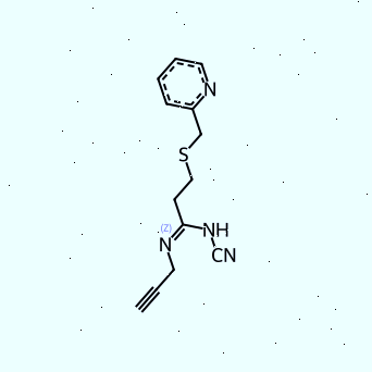 C#CC/N=C(/CCSCc1ccccn1)NC#N